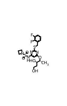 C[C@@H](Oc1cc(NS(=O)(=O)N2CCC2)nc(SCc2cccc(F)c2F)n1)[C@H](O)CCO